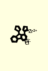 [Cl-].[Cl-].[Zr+2][C]1=C(c2cccc3c2C(C2C=CCC2)c2ccccc2-3)C=CC1